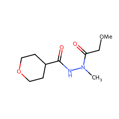 COCC(=O)N(C)NC(=O)C1CCOCC1